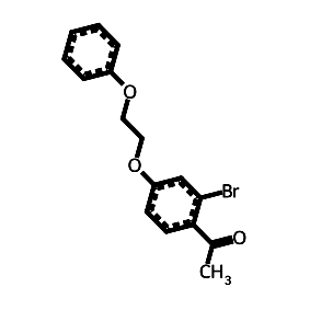 CC(=O)c1ccc(OCCOc2ccccc2)cc1Br